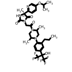 CCCc1cc(C(O)(C(F)(F)F)C(F)(F)F)ccc1N1CC(C)N(C(=O)CN2C(=O)N[C@@](C)(c3ccc(OC(C)C)cn3)C2=O)CC1C